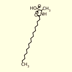 CCCCCCCCCCCCCCCCCC(=O)NC(C)S(=O)(=O)O